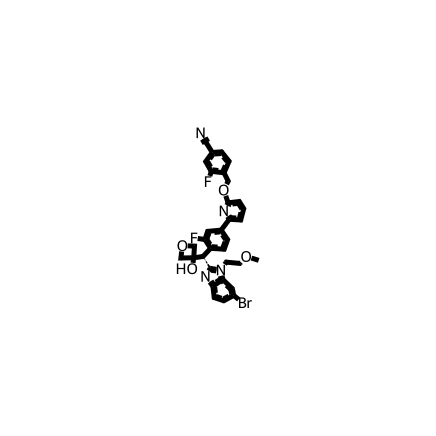 COCCn1c([C@@H](c2ccc(-c3cccc(OCc4ccc(C#N)cc4F)n3)cc2F)C2(O)COC2)nc2ccc(Br)cc21